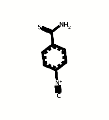 [C-]#[N+]c1ccc(C(N)=S)cc1